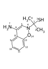 CC(C)(S)N1C=C(N)c2ccccc2O1